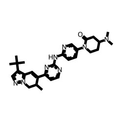 CC1Cn2ncc(C(C)(C)C)c2C=C1c1ccnc(Nc2ccc(N3CCC(N(C)C)CC3=O)cn2)n1